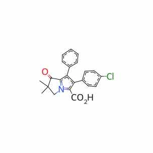 CC1(C)Cn2c(C(=O)O)c(-c3ccc(Cl)cc3)c(-c3ccccc3)c2C1=O